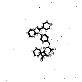 O=C(O)[C@H](Cc1ccc(-n2c(C3CCNCC3)nc3cccnc32)cc1)NC1=C(Br)C(=O)C12CCCCC2